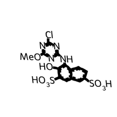 COc1nc(Cl)nc(Nc2c(O)c(S(=O)(=O)O)cc3cc(S(=O)(=O)O)ccc23)n1